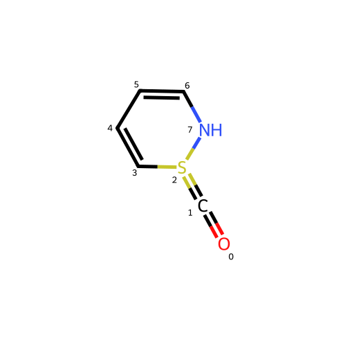 O=C=S1C=CC=CN1